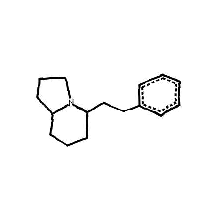 c1ccc(CCC2CCCC3CCCN32)cc1